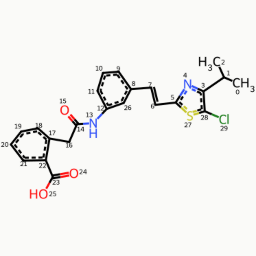 CC(C)c1nc(C=Cc2cccc(NC(=O)Cc3ccccc3C(=O)O)c2)sc1Cl